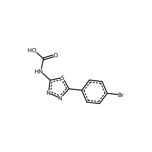 O=C(O)Nc1nnc(-c2ccc(Br)cc2)s1